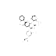 C=CC(=[18O])N1CCN(C2=NC(=C)N(c3c(C(C)C)ncc(F)c3C)c3nc(-c4ccccc4C=O)c(Cl)cc32)[C@@H](C)C1